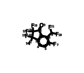 O=C1c2c(ccc(F)c2C(F)F)C(F)(F)C1(F)F